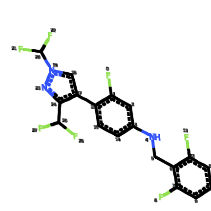 Fc1cc(NCc2c(F)cccc2F)ccc1-c1cn(C(F)F)nc1C(F)F